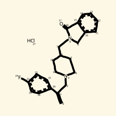 C=C(CN1CCC(CN2Cc3ccccc3C2=O)CC1)c1ccc(F)cc1.Cl